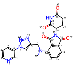 CN(Cc1cn(-c2cccnc2)nn1)c1cccc2c1C(=O)N(C1CCC(=O)NC1=O)C2=O